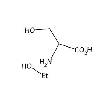 CCO.NC(CO)C(=O)O